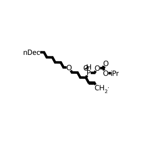 [CH2]C=CC(CCCOCCCCCCCCCCCCCCCC)[PH](=O)COC(=O)OC(C)C